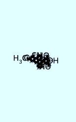 COCc1cc(C)cc(Cc2c3ccccc3c(-c3cc(CO)c(O)c(CO)c3)c3ccccc23)c1